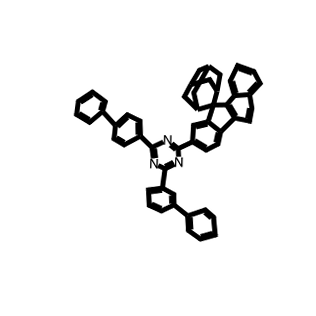 c1ccc(-c2ccc(-c3nc(-c4cccc(-c5ccccc5)c4)nc(-c4ccc5c(c4)C4(c6c-5ccc5ccccc65)C5CC6CC(C5)CC4C6)n3)cc2)cc1